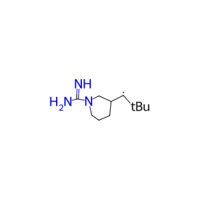 CC(C)(C)[CH]C1CCCN(C(=N)N)C1